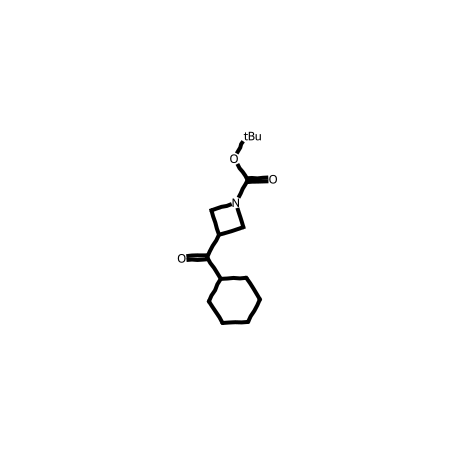 CC(C)(C)OC(=O)N1CC(C(=O)C2CCCCC2)C1